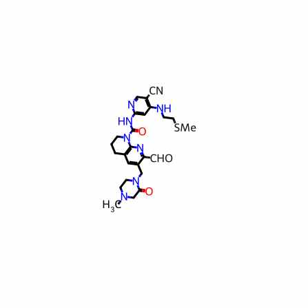 CSCCNc1cc(NC(=O)N2CCCc3cc(CN4CCN(C)CC4=O)c(C=O)nc32)ncc1C#N